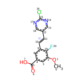 COc1cc(C(=O)O)cc(/C=C/c2cnc(Cl)nc2)c1F